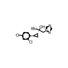 CC(C)(C)C(O)(Cn1cncn1)[C@@H]1C[C@H]1c1ccc(Cl)cc1Cl